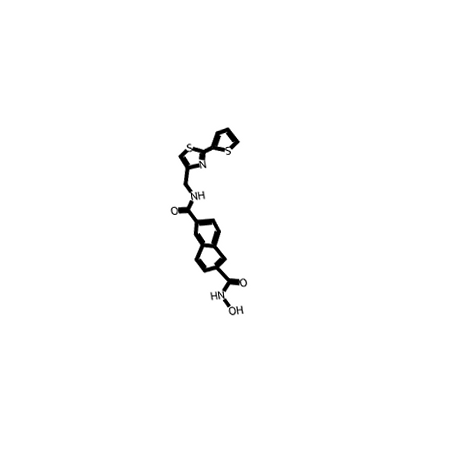 O=C(NO)c1ccc2cc(C(=O)NCc3csc(-c4cccs4)n3)ccc2c1